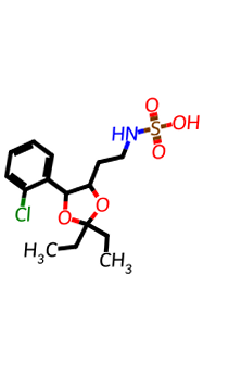 CCC1(CC)OC(CCNS(=O)(=O)O)C(c2ccccc2Cl)O1